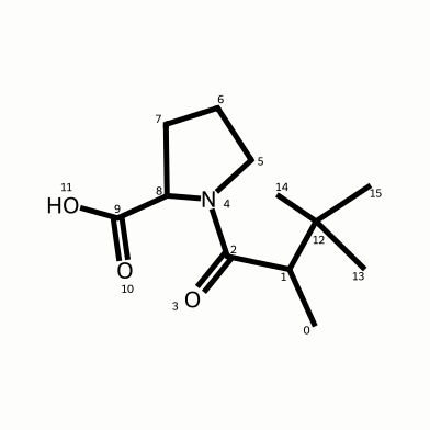 CC(C(=O)N1CCCC1C(=O)O)C(C)(C)C